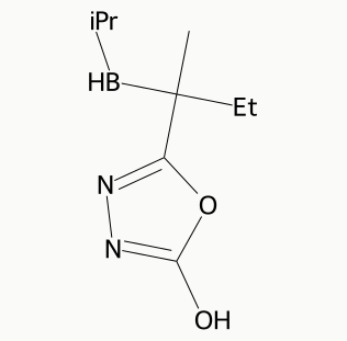 CCC(C)(BC(C)C)c1nnc(O)o1